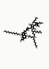 CCCCCCCCCCCCOc1cc2cc(-c3ccc(C4=C5C(=O)N(CC(CCCC)CCCCCC)C(c6ccc(C)s6)=C5C(=O)N4CC(CCCC)CCCCCC)s3)sc2c2c(OCCCCCCCCCCCC)cc3cc(C)sc3c12